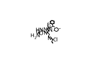 C=C/C(Cl)=C\N=C/Cc1nc(C(=N)OC(N)=O)nc2nc(C(C)c3ccccc3F)n(C[C@H]3CC[C@H](C)CC3)c12